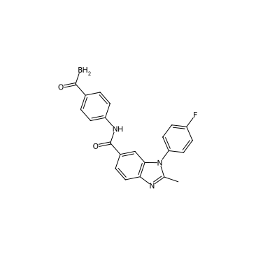 BC(=O)c1ccc(NC(=O)c2ccc3nc(C)n(-c4ccc(F)cc4)c3c2)cc1